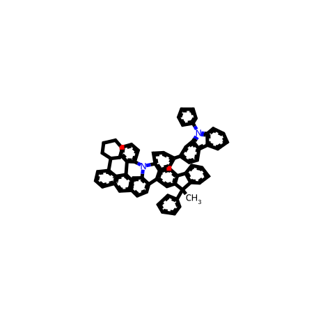 CC1(c2ccccc2)c2ccccc2-c2ccc(-c3ccccc3N(c3ccc(-c4ccc5c6ccccc6n(-c6ccccc6)c5c4)cc3)c3ccccc3-c3cccc4cccc(C5CCCCC5)c34)cc21